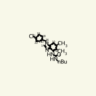 CCCCNC(=O)Nc1c(C)c(C)cc2c1ncn2Cc1ccc(Cl)cc1